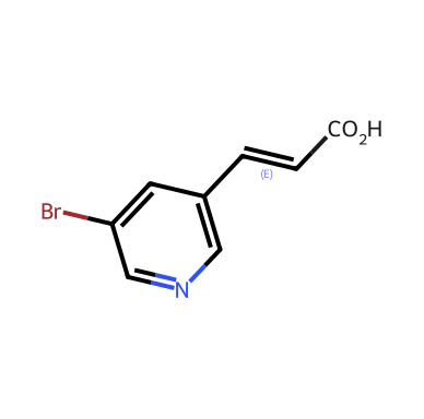 O=C(O)/C=C/c1cncc(Br)c1